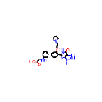 O=C(O)CNc1cccc(-c2ccc(-c3nc4c(c(=O)[nH]3)NNN4)c(OCCN3CCCC3)c2)c1